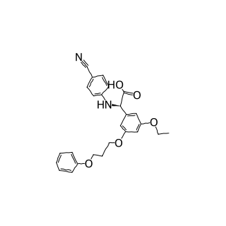 CCOc1cc(OCCCOc2ccccc2)cc([C@@H](Nc2ccc(C#N)cc2)C(=O)O)c1